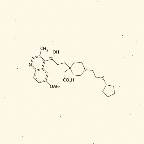 COc1ccc2ncc(C)c([C@H](O)CCC3(CC(=O)O)CCN(CCSC4CCCC4)CC3)c2c1